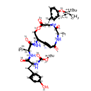 CC(C)[C@@H]1NC(=O)/C=C/[C@@H](NC(=O)[C@@H](NC(=O)[C@H](Cc2ccc(O)cc2)NC(=O)OC(C)(C)C)C(C)C)COC(=O)[C@H](Cc2ccc(O[Si](C)(C)C(C)(C)C)cc2)NC1=O